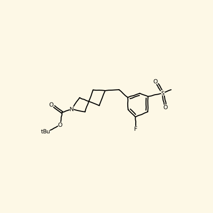 CC(C)(C)OC(=O)N1CC2(CC(Cc3cc(F)cc(S(C)(=O)=O)c3)C2)C1